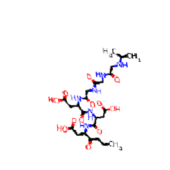 CCCC(=O)C(CC(=O)O)NC(=O)C(CC(=O)O)NC(=O)C(CC(=O)O)NC(=O)CNC(=O)CNC(=O)CNC(C)C